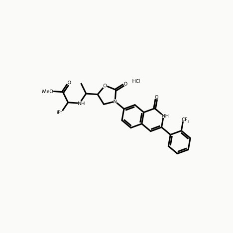 COC(=O)C(NC(C)C1CN(c2ccc3cc(-c4ccccc4C(F)(F)F)[nH]c(=O)c3c2)C(=O)O1)C(C)C.Cl